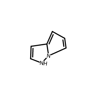 c1cc2cc[nH]n2c1